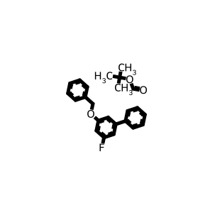 CC(C)(C)OC=O.Fc1cc(OCc2ccccc2)cc(-c2ccccc2)c1